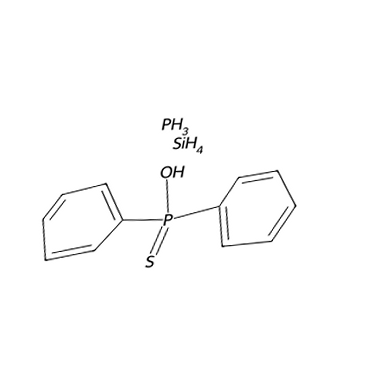 OP(=S)(c1ccccc1)c1ccccc1.P.[SiH4]